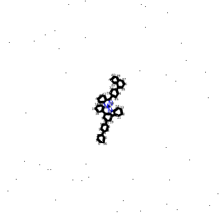 c1ccc(-c2ccc(-c3cc(-c4ccccc4)c4c(c3)c3ccccc3n4-c3nc(-c4ccc(-c5cccc6ccccc56)cc4)c4ccccc4n3)cc2)cc1